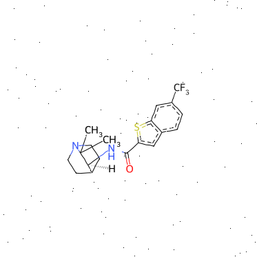 CC1(C)[C@@H](NC(=O)c2cc3ccc(C(F)(F)F)cc3s2)C2CCN1CC2